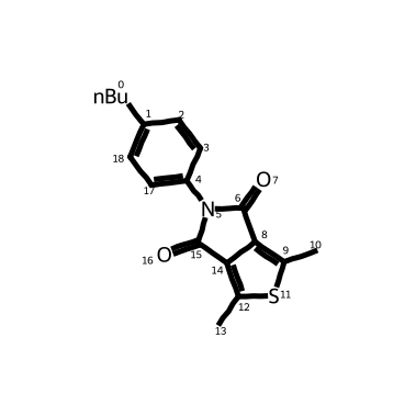 CCCCc1ccc(N2C(=O)c3c(C)sc(C)c3C2=O)cc1